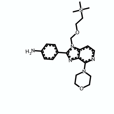 C[Si](C)(C)CCOCn1c(-c2ccc(N)cc2)nc2c(N3CCOCC3)nccc21